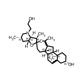 CC1=C2C[C@H]3[C@@H](CC=C4C[C@@H](O)CC[C@@]43C)[C@@H]2CCC2(C1)O[C@@H]1C[C@H](C)CN(CCO)[C@H]1[C@H]2C